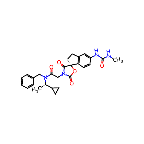 CNC(=O)Nc1ccc2c(c1)CC[C@@]21OC(=O)N(CC(=O)N(Cc2ccccc2)[C@@H](C)C2CC2)C1=O